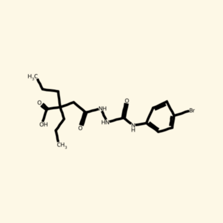 CCCC(CCC)(CC(=O)NNC(=O)Nc1ccc(Br)cc1)C(=O)O